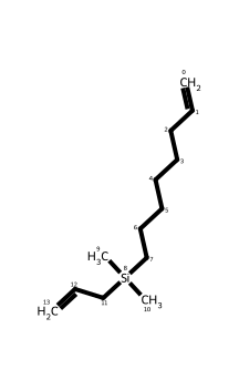 C=CCCCCCC[Si](C)(C)CC=C